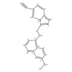 C#Cc1ccc2nnc(COc3ccnc4cc(OC)ccc34)n2c1